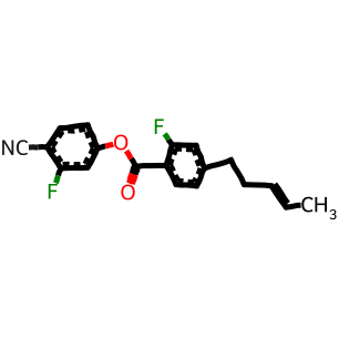 C/C=C/CCc1ccc(C(=O)Oc2ccc(C#N)c(F)c2)c(F)c1